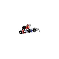 CCOP(=O)(Cc1ccc(COc2ccccc2OC2CCN(Cc3ccc4nc(-c5ccc(C(F)(F)F)cc5)[nH]c4c3)CC2)cc1)OCC